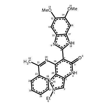 CCn1cc2[nH]c(=O)c(-c3nc4cc(OC)c(OC)cc4[nH]3)c(/N=C(/C)c3ccccn3)c2n1